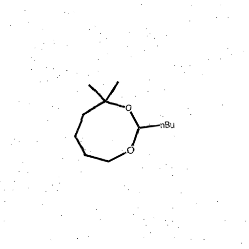 [CH2]CCCC1OCCCCC(C)(C)O1